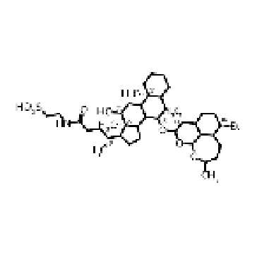 CC[C@@H]1CCC2C3C(OC(C)CCC31)OC(O[C@@H]1CC3CCCC[C@]3(C)C3C[C@H](O)[C@@]4(C)C(CCC4[C@H](C)CCC(=O)NCCS(=O)(=O)O)C31)[C@@H]2C